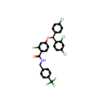 O=C(NCc1ccc(C(F)(F)F)cc1)c1ccc(OC(c2ccc(Cl)cc2)c2ccc(Cl)cc2Cl)cc1F